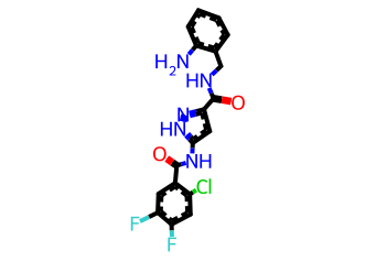 Nc1ccccc1CNC(=O)c1cc(NC(=O)c2cc(F)c(F)cc2Cl)[nH]n1